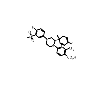 CC1([C@@H]2CN(c3ccc(F)c(S(C)(=O)=O)c3)CCN2c2ncc(C(=O)O)c(C(F)(F)F)n2)C=CC(F)=CC1